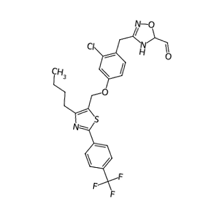 CCCCc1nc(-c2ccc(C(F)(F)F)cc2)sc1COc1ccc(CC2=NOC(C=O)N2)c(Cl)c1